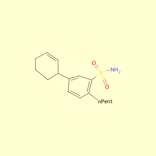 CCCCCc1ccc(C2C=CCCC2)cc1S(N)(=O)=O